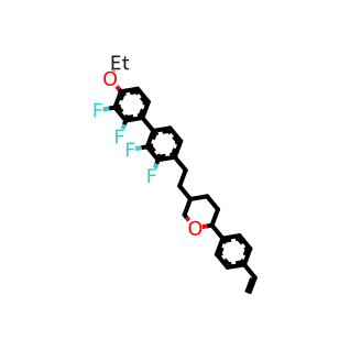 C=Cc1ccc(C2CCC(CCc3ccc(-c4ccc(OCC)c(F)c4F)c(F)c3F)CO2)cc1